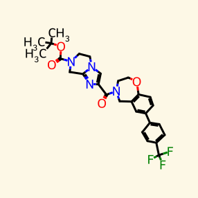 CC(C)(C)OC(=O)N1CCn2cc(C(=O)N3CCOc4ccc(-c5ccc(C(F)(F)F)cc5)cc4C3)nc2C1